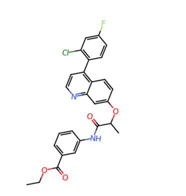 CCOC(=O)c1cccc(NC(=O)C(C)Oc2ccc3c(-c4ccc(F)cc4Cl)ccnc3c2)c1